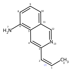 C/C=C\c1cc2c(N)cccc2cn1